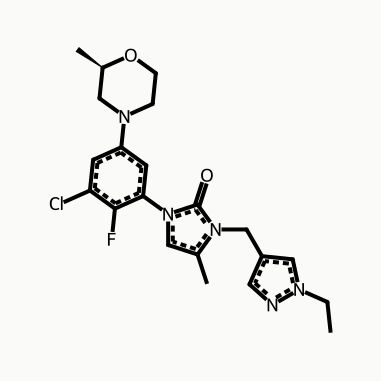 CCn1cc(Cn2c(C)cn(-c3cc(N4CCO[C@H](C)C4)cc(Cl)c3F)c2=O)cn1